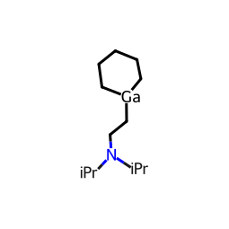 CC(C)N(C[CH2][Ga]1[CH2]CCC[CH2]1)C(C)C